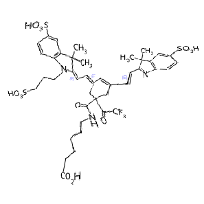 CC1(C)C(/C=C/C2=CC(=C/C=C3/N(CCCS(=O)(=O)O)c4ccc(S(=O)(=O)O)cc4C3(C)C)/CC(C(=O)NCCCCCC(=O)O)(C(=O)C(F)(F)F)C2)=Nc2ccc(S(=O)(=O)O)cc21